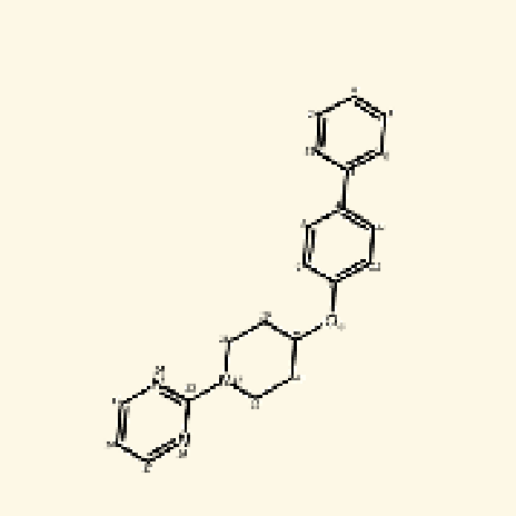 c1ccc(-c2ccc(OC3CCN(c4ncccn4)CC3)cc2)cc1